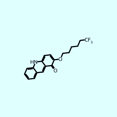 O=c1c(OCCCCCC(F)(F)F)ccc2[nH]c3ccccc3cc1-2